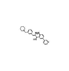 N=C(/C(N)=C/c1cccc(CN2CCCCC2)c1)c1cc(-c2cccnc2)ccc1N